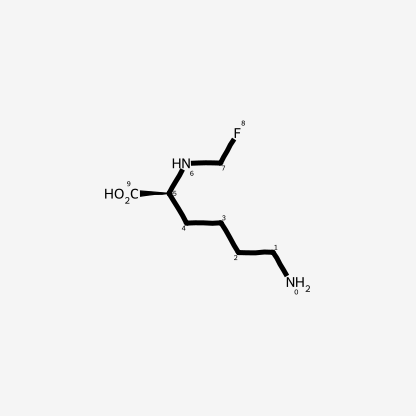 NCCCC[C@H](NCF)C(=O)O